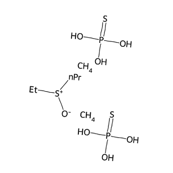 C.C.CCC[S+]([O-])CC.OP(O)(O)=S.OP(O)(O)=S